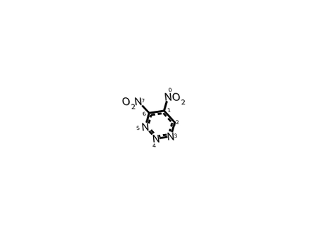 O=[N+]([O-])c1[c]nnnc1[N+](=O)[O-]